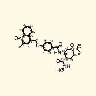 Cc1cc(COc2ccc(C(=O)N[C@@H]3C[N+]([O-])(C(C)C)CC[C@@H]3C(=O)NO)cc2)c2ccccc2[n+]1[O-]